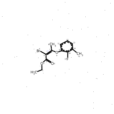 CCOC(=O)/C(Br)=C(/C)Oc1cccc(C)c1F